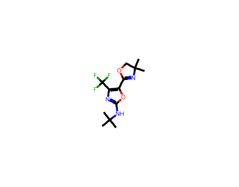 CC1(C)COC(c2oc(NC(C)(C)C)nc2C(F)(F)F)=N1